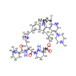 CCn1c(-c2cc(N3CCN(C)CC3)cnc2[C@H](C)OC)c2c3cc(ccc31)-c1csc(n1)C[C@H](NC(=O)C13CCC(CC1)N3C)C(=O)N1CCC[C@H](N1)C(=O)OCC(C)(C)C2